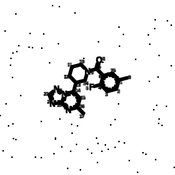 Cc1ccc(F)c(C(=O)N2CCCC(c3cc(C)nc4ncnn34)C2)c1